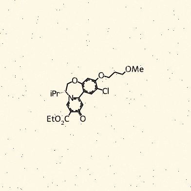 CCOC(=O)c1cn2c(cc1=O)-c1cc(Cl)c(OCCCOC)cc1OC[C@H]2C(C)C